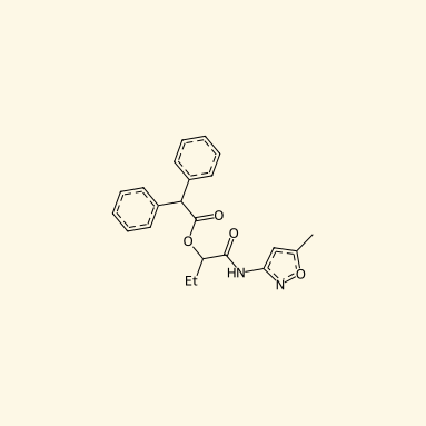 CCC(OC(=O)C(c1ccccc1)c1ccccc1)C(=O)Nc1cc(C)on1